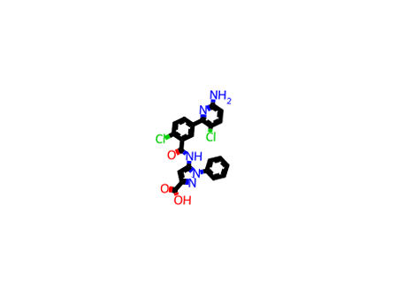 Nc1ccc(Cl)c(-c2ccc(Cl)c(C(=O)Nc3cc(C(=O)O)nn3-c3ccccc3)c2)n1